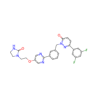 O=C1NCCN1CCOc1cnc(-c2cccc(Cn3nc(-c4cc(F)cc(F)c4)ccc3=O)c2)nc1